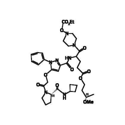 CCOC(=O)ON1CCN(C(=O)C(CCC(=O)OCC[C@H](C)OC)NC(=O)c2cc(OCC(=O)N3CCC[C@H]3C(=O)NC3CCC3)n(-c3ccccc3)n2)CC1